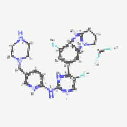 Fc1cnc(Nc2ccc(CN3CCNCC3)cn2)nc1-c1cc(F)c2nc3n(c2c1)[C@@H](C(F)F)CC3